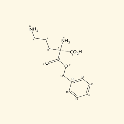 NCCC[C@](N)(C(=O)O)C(=O)OCc1ccccc1